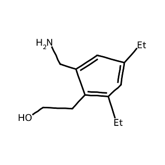 CCc1cc(CC)c(CCO)c(CN)c1